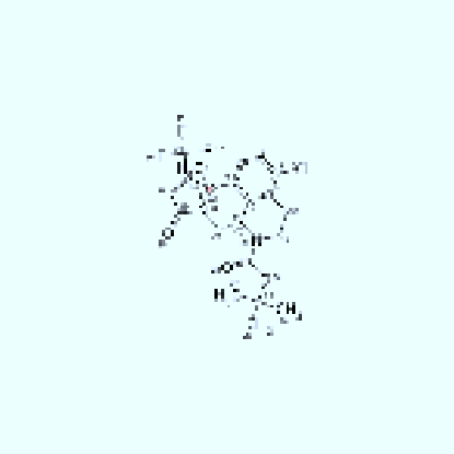 COc1ccc(Cl)c2c1[C@@H](CN1CC(C(F)(F)F)=CC1=O)N(C(=O)OC(C)(C)C)CC2